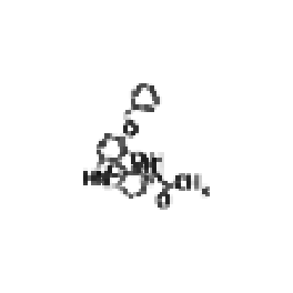 CC(=O)N[C@H]1CCC2C3Cc4ccc(OCc5ccccc5)c5c4C2(CCN3)[C@H]1O5